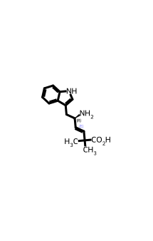 CC(C)(/C=C/[C@H](N)Cc1c[nH]c2ccccc12)C(=O)O